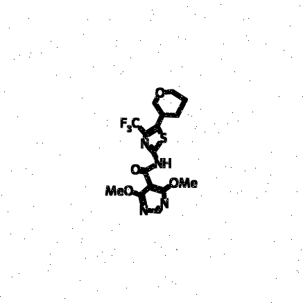 COc1ncnc(OC)c1C(=O)Nc1nc(C(F)(F)F)c(C2CCCOC2)s1